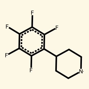 Fc1c(F)c(F)c(C2CC[N]CC2)c(F)c1F